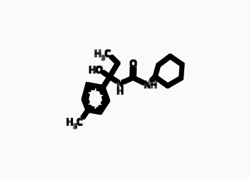 CCC(O)(NC(=O)NC1CCCCC1)c1ccc(C)cc1